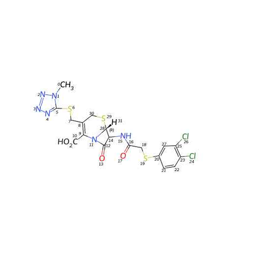 Cn1nnnc1SCC1=C(C(=O)O)N2C(=O)C(NC(=O)CSc3ccc(Cl)c(Cl)c3)[C@H]2SC1